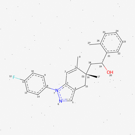 CC1=Cc2c(cnn2-c2ccc(F)cc2)C[C@@]1(C)CC(O)c1ccccc1C